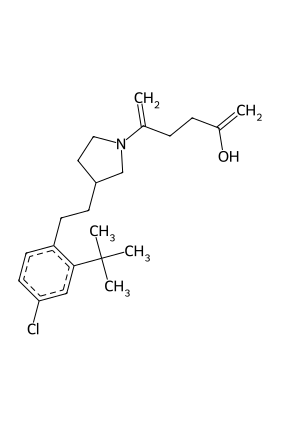 C=C(O)CCC(=C)N1CCC(CCc2ccc(Cl)cc2C(C)(C)C)C1